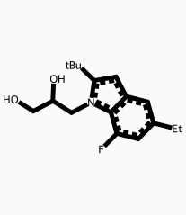 CCc1cc(F)c2c(c1)cc(C(C)(C)C)n2CC(O)CO